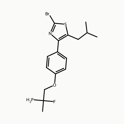 CC(C)Cc1sc(Br)nc1-c1ccc(OCC(C)(F)P)cc1